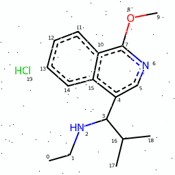 CCNC(c1cnc(OC)c2ccccc12)C(C)C.Cl